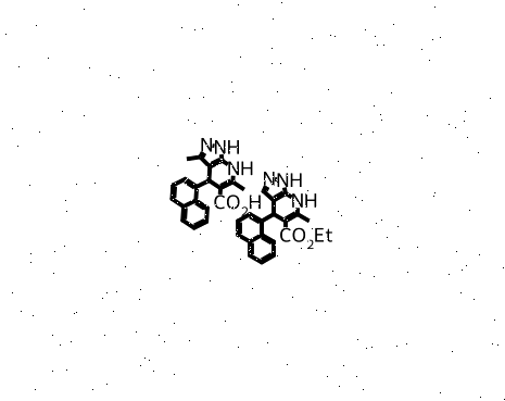 CC1=C(C(=O)O)C(c2cccc3ccccc23)c2c(C)n[nH]c2N1.CCOC(=O)C1=C(C)Nc2[nH]ncc2C1c1cccc2ccccc12